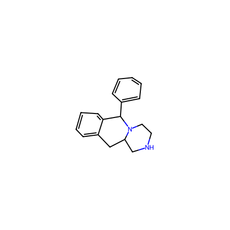 c1ccc(C2c3ccccc3CC3CNCCN32)cc1